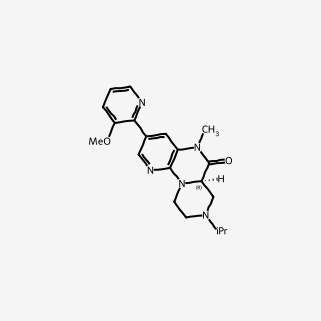 COc1cccnc1-c1cnc2c(c1)N(C)C(=O)[C@H]1CN(C(C)C)CCN21